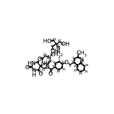 Cc1cc(COc2ccc(C(=O)NCC3(N4CCN(C)CC4)C(=O)NC(=O)NC3=O)cc2)c2ccccc2n1.NC(CO)(CO)CO